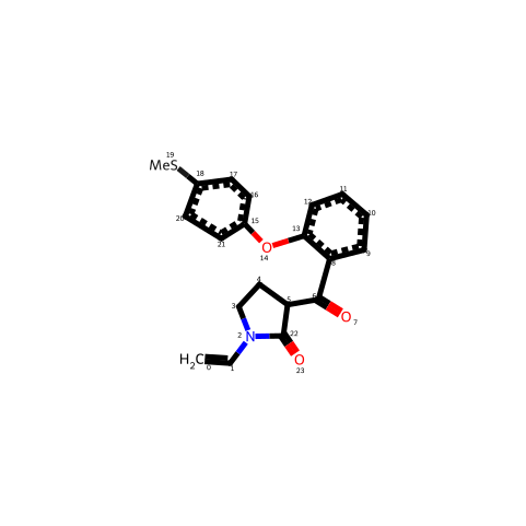 C=CN1CCC(C(=O)c2ccccc2Oc2ccc(SC)cc2)C1=O